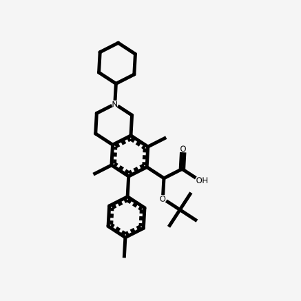 Cc1ccc(-c2c(C)c3c(c(C)c2C(OC(C)(C)C)C(=O)O)CN(C2CCCCC2)CC3)cc1